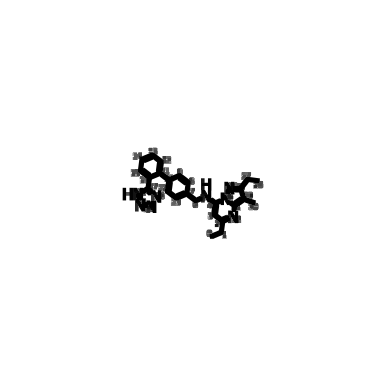 CCc1cc(NCc2ccc(-c3ccccc3-c3nnn[nH]3)cc2)n2nc(CC)c(C)c2n1